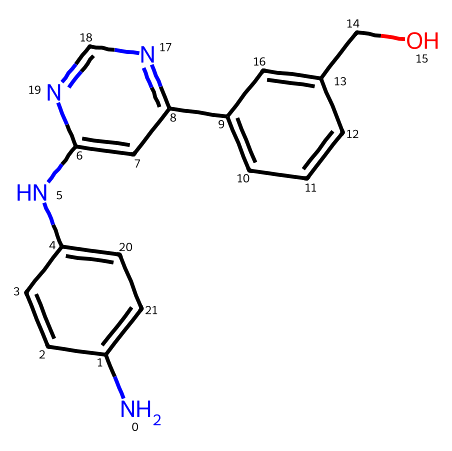 Nc1ccc(Nc2cc(-c3cccc(CO)c3)ncn2)cc1